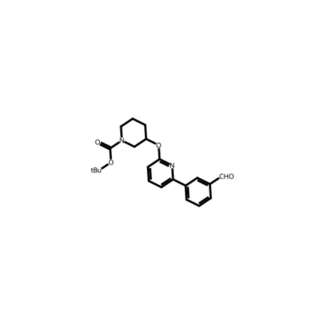 CC(C)(C)OC(=O)N1CCCC(Oc2cccc(-c3cccc(C=O)c3)n2)C1